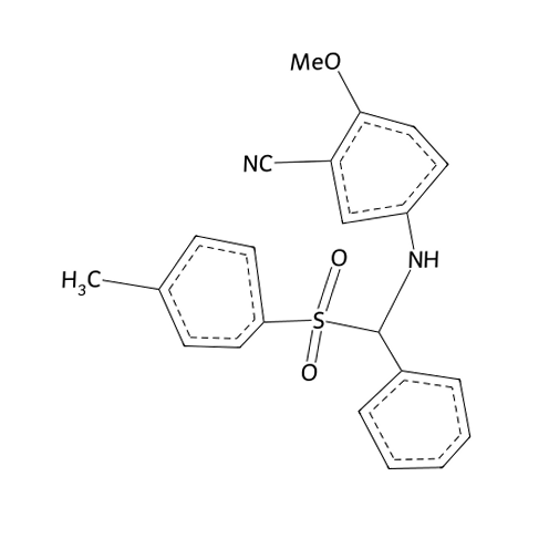 COc1ccc(NC(c2ccccc2)S(=O)(=O)c2ccc(C)cc2)cc1C#N